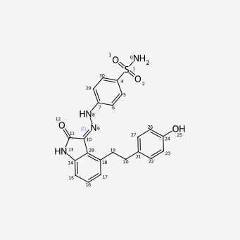 NS(=O)(=O)c1ccc(N/N=C2\C(=O)Nc3cccc(CCc4ccc(O)cc4)c32)cc1